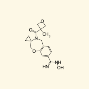 CC1(C(=O)N2Cc3ccc(C(=N)NO)cc3OCC23CC3)COC1